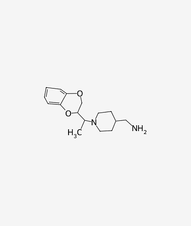 CC(C1COc2ccccc2O1)N1CCC(CN)CC1